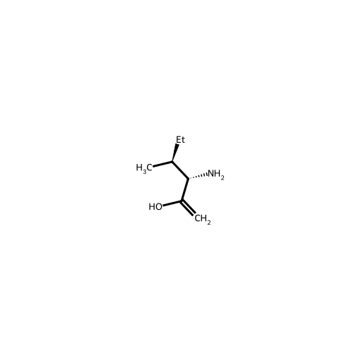 C=C(O)[C@@H](N)[C@@H](C)CC